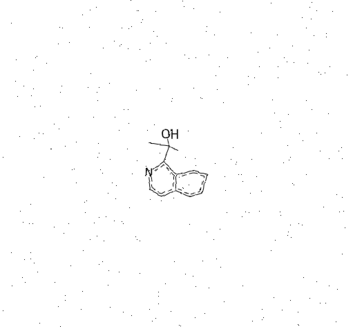 CC(C)(O)c1nccc2ccccc12